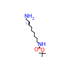 CC(C)(C)OC(=O)NCCCCCC/C=C/CN